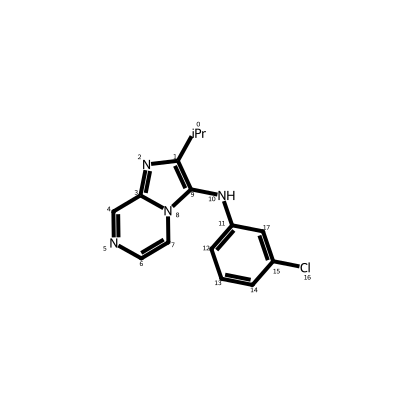 CC(C)c1nc2cnccn2c1Nc1cccc(Cl)c1